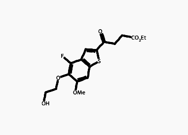 CCOC(=O)CCC(=O)c1cc2c(F)c(OCCO)c(OC)cc2s1